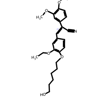 CCOc1cc(/C=C(\C#N)c2ccc(OC)c(OC)c2)ccc1OCCCCCCO